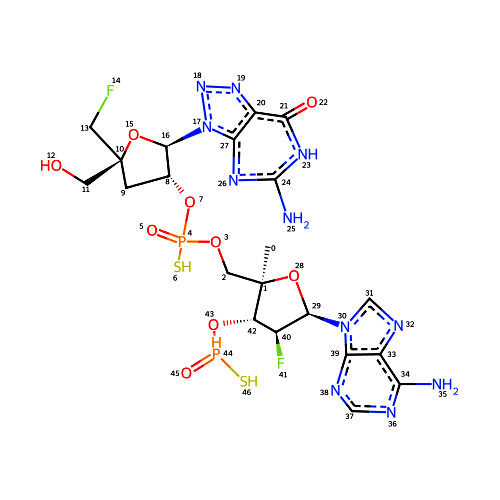 C[C@]1(COP(=O)(S)O[C@@H]2C[C@](CO)(CF)O[C@H]2n2nnc3c(=O)[nH]c(N)nc32)O[C@@H](n2cnc3c(N)ncnc32)[C@@H](F)[C@@H]1O[PH](=O)S